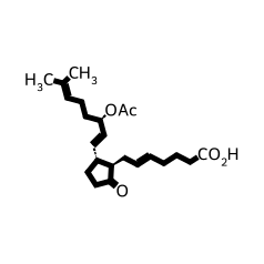 CC(=O)O[C@H](C=C[C@H]1CCC(=O)[C@@H]1CC=CCCCC(=O)O)CCC=C(C)C